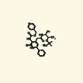 CC(C)C(NC(=O)Cc1cc(-c2ccccc2)[nH]c(=O)c1NC(=O)OCc1ccncc1)C(O[Si](C)(C)C(C)(C)C)C(F)(F)F